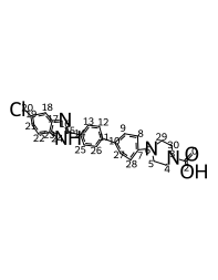 O=C(O)N1CCN(c2ccc(-c3ccc(-c4nc5cc(Cl)ccc5[nH]4)cc3)cc2)CC1